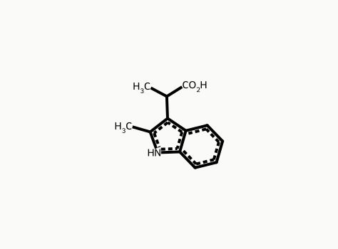 Cc1[nH]c2ccccc2c1C(C)C(=O)O